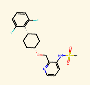 CS(=O)(=O)Nc1cccnc1CO[C@H]1CC[C@@H](c2c(F)cccc2F)CC1